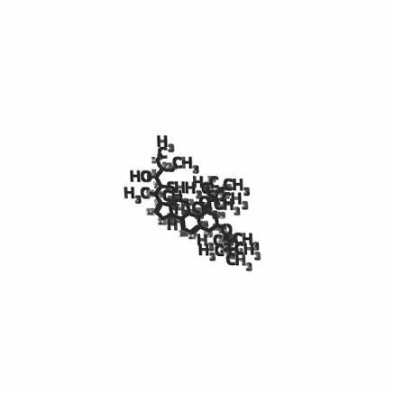 CCC(CC)[C@H](O)C(S)C(C)C1=CC[C@H]2C3=CC=C4CC(O[Si](C)(C)C(C)(C)C)CC(O[Si](C)(C)C(C)(C)C)[C@]4(C)[C@H]3CC[C@]12C